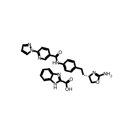 NC1=N[C@@H](CCc2ccc(NC(=O)c3ccc(-n4cccn4)nc3)cc2)CO1.O=C(O)c1nc2ccccc2[nH]1